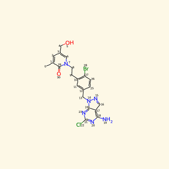 Cc1cc(CO)cn(CCc2cc(Cn3ncc4c(N)nc(Cl)nc43)ccc2Br)c1=O